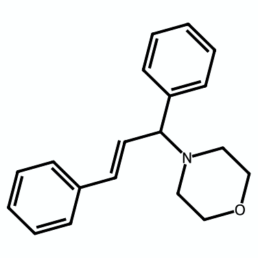 C(=CC(c1ccccc1)N1CCOCC1)c1ccccc1